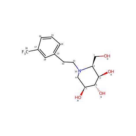 OC[C@H]1[C@@H](O)[C@H](O)[C@@H](O)CN1CCc1cccc(C(F)(F)F)c1